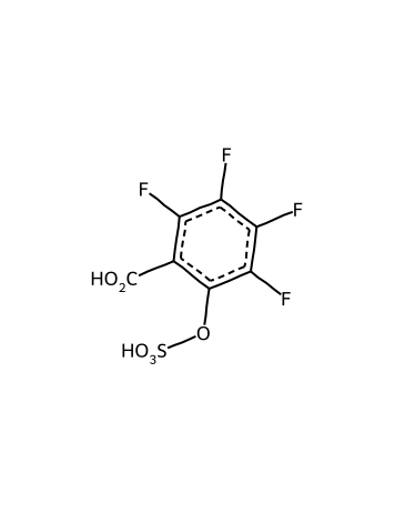 O=C(O)c1c(F)c(F)c(F)c(F)c1OS(=O)(=O)O